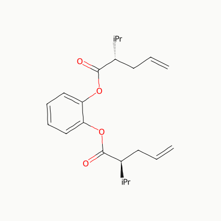 C=CC[C@H](C(=O)Oc1ccccc1OC(=O)[C@@H](CC=C)C(C)C)C(C)C